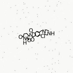 O=C1CCC(N2C(=O)c3cc(Cl)c(CN4CCNCC4)cc3C2=O)C(=O)N1